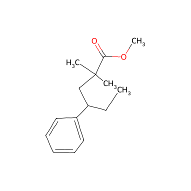 CCC(CC(C)(C)C(=O)OC)c1ccccc1